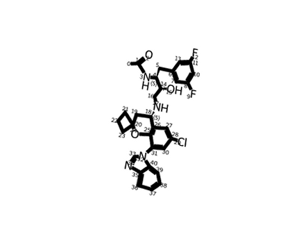 CC(=O)N[C@@H](Cc1cc(F)cc(F)c1)[C@@H](O)CN[C@H]1CC2(CCC2)Oc2c1cc(Cl)cc2-n1cnc2ccccc21